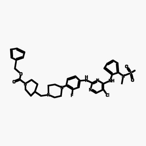 CN(c1ccccc1Nc1nc(Nc2ccc(N3CCN(CC4CCN(C(=O)OCc5ccccc5)CC4)CC3)c(F)c2)ncc1Cl)S(C)(=O)=O